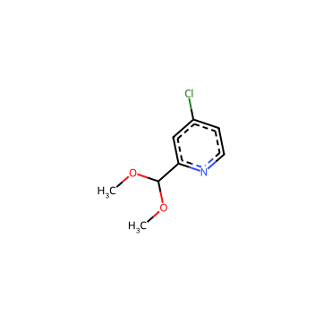 COC(OC)c1cc(Cl)ccn1